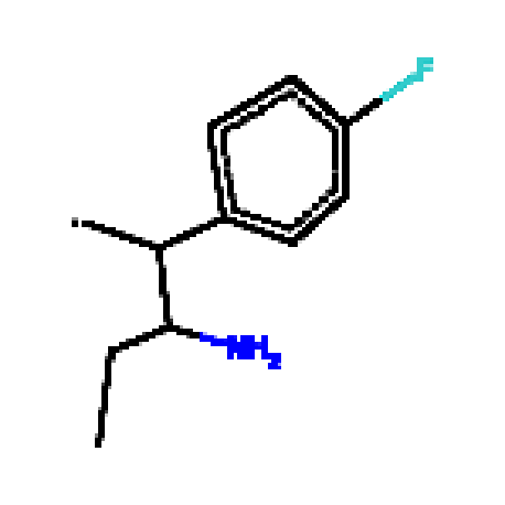 [CH2]C(c1ccc(F)cc1)C(N)CC